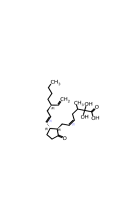 C=C[C@@H](C/C=C/[C@H]1CCC(=O)[C@@H]1C/C=C\CC(C)C(O)(O)C(=O)O)CCCC